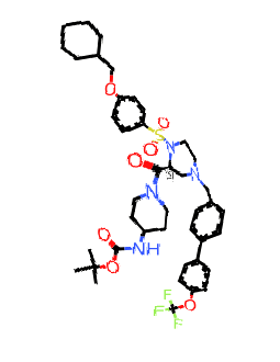 CC(C)(C)OC(=O)NC1CCN(C(=O)[C@@H]2CN(Cc3ccc(-c4ccc(OC(F)(F)F)cc4)cc3)CCN2S(=O)(=O)c2ccc(OCC3CCCCC3)cc2)CC1